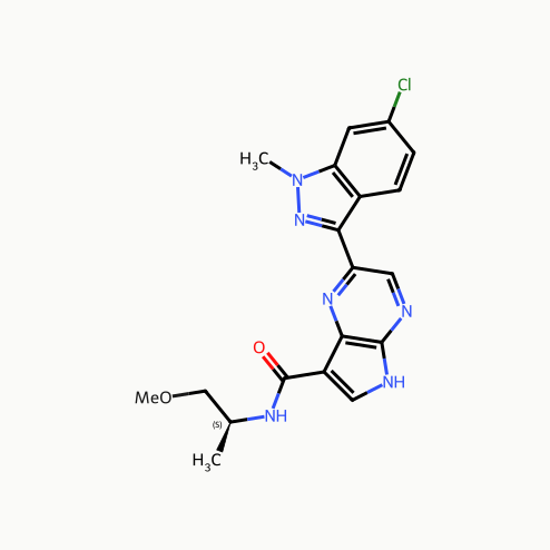 COC[C@H](C)NC(=O)c1c[nH]c2ncc(-c3nn(C)c4cc(Cl)ccc34)nc12